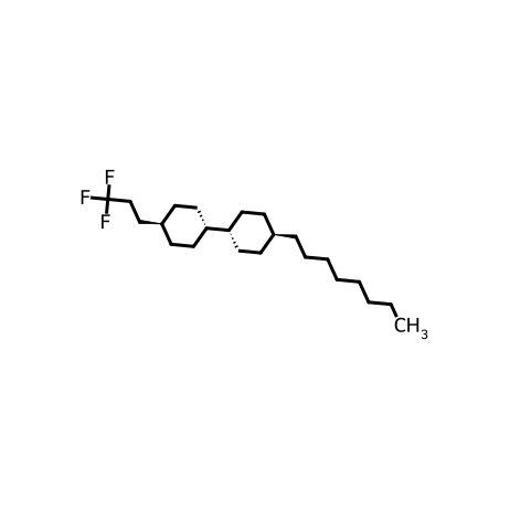 CCCCCCCC[C@H]1CC[C@H]([C@H]2CC[C@H](CCC(F)(F)F)CC2)CC1